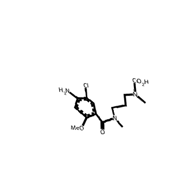 COc1cc(N)c(Cl)cc1C(=O)N(C)CCCN(C)C(=O)O